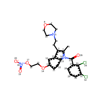 Cc1c(CCN2CCOCC2)c2cc(OCCO[N+](=O)[O-])ccc2n1C(=O)c1cccc(Cl)c1Cl